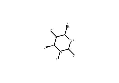 CCC1OC(C)C(C)[C@@H](C)C1C